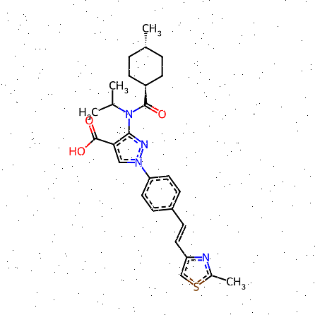 Cc1nc(C=Cc2ccc(-n3cc(C(=O)O)c(N(C(=O)[C@H]4CC[C@H](C)CC4)C(C)C)n3)cc2)cs1